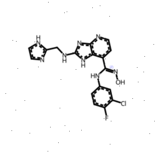 O/N=C(\Nc1ccc(F)c(Cl)c1)c1ccnc2nc(NCc3ncc[nH]3)[nH]c12